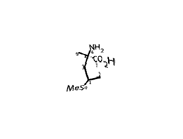 CSC(C)C[C@@](C)(N)C(=O)O